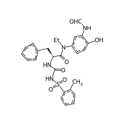 CCN(C(=O)[C@H](Cc1ccccc1)NC(=O)NS(=O)(=O)c1ccccc1C)c1ccc(O)c(NC=O)c1